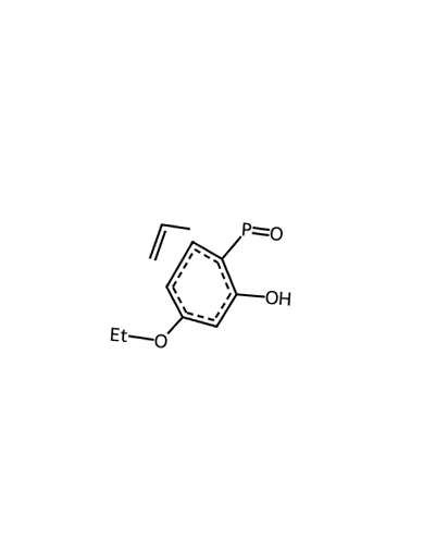 C=CC.CCOc1ccc(P=O)c(O)c1